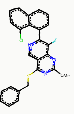 COc1nc(SCc2ccccc2)c2cnc(-c3cccc4cccc(Cl)c34)c(F)c2n1